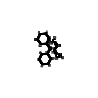 C1CCC(OC2CCCCC2)CC1.C=CC=C